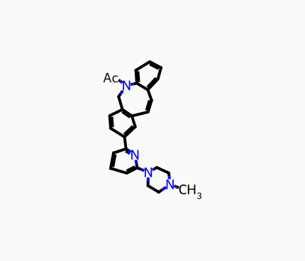 CC(=O)N1Cc2ccc(-c3cccc(N4CCN(C)CC4)n3)cc2/C=C\c2ccccc21